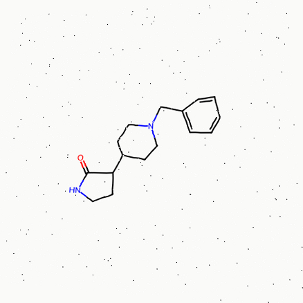 O=C1NCCC1C1CCN(Cc2ccccc2)CC1